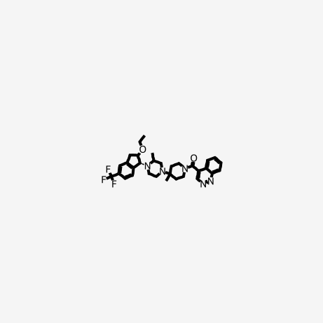 CCOC1Cc2cc(C(F)(F)F)ccc2[C@H]1N1CCN(C2(C)CCN(C(=O)c3cnnc4ccccc34)CC2)CC1C